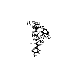 COc1cccc(OC)c1-n1c(NS(=O)(=O)C(C)Cc2ncc(F)cn2)nnc1-c1nc(C)cs1